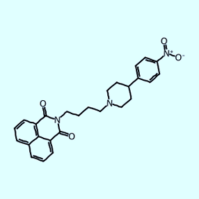 O=C1c2cccc3cccc(c23)C(=O)N1CCCCN1CCC(c2ccc([N+](=O)[O-])cc2)CC1